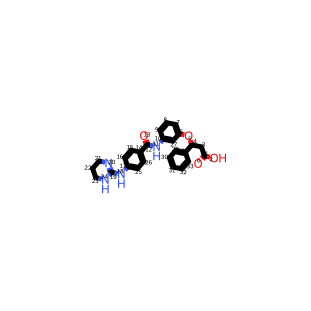 O=C(O)CC(Oc1cccc(NC(=O)c2ccc(NC3=NCCCN3)cc2)c1)c1ccccc1